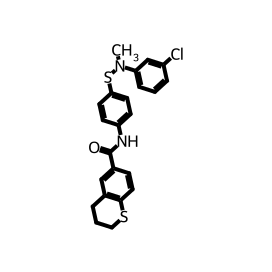 CN(Sc1ccc(NC(=O)c2ccc3c(c2)CCCS3)cc1)c1cccc(Cl)c1